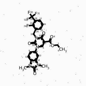 CCOC(=O)c1cn(-c2ccc3c(c2)n(C)c(=O)n3C)c(=O)n(Cc2cccc(C(F)(F)F)c2F)c1=O